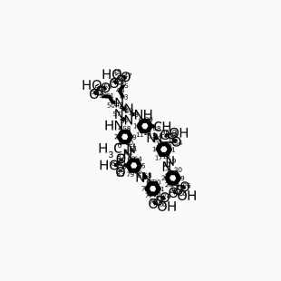 Cc1cc(Nc2nc(Nc3ccc(N=Nc4ccc(N=Nc5ccc(S(=O)(=O)O)cc5)cc4S(=O)(=O)O)c(C)c3)nc(N(CCCS(=O)(=O)O)CCCS(=O)(=O)O)n2)ccc1N=Nc1ccc(N=Nc2ccc(S(=O)(=O)O)cc2)cc1S(=O)(=O)O